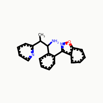 CC(c1ccccn1)C(N)c1ccccc1-c1noc2ccccc12